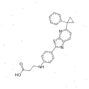 O=C(O)CCNc1ccc(-c2nc3ccc(C4(c5ccccc5)CC4)nc3s2)cc1